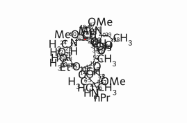 CCCNC[C@]1(O)[C@H](C)O[C@@H](OC2C(C)C(=O)OC(CC)C(C)(O)C(O)C(C)NCC(C)CC(C)(O)C(O[C@@H]3O[C@H](C)C[C@H](NC)[C@H]3Oc3cc(OC)cc(OC)c3)C2C)C[C@@]1(C)OC